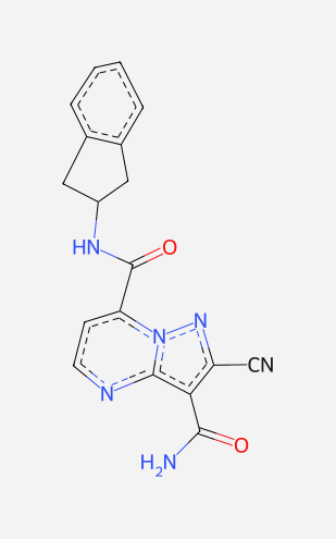 N#Cc1nn2c(C(=O)NC3Cc4ccccc4C3)ccnc2c1C(N)=O